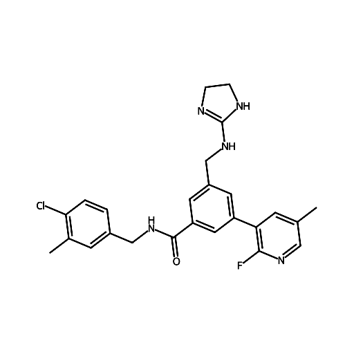 Cc1cnc(F)c(-c2cc(CNC3=NCCN3)cc(C(=O)NCc3ccc(Cl)c(C)c3)c2)c1